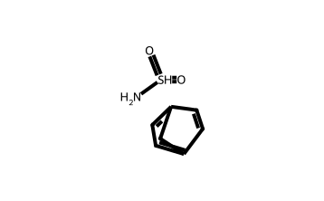 C1=CC2=CC=C1C2.N[SH](=O)=O